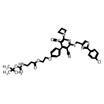 [C-]#[N+]c1c(N2CCC2)nc(SCc2csc(-c3ccc(Cl)cc3)n2)c(C#N)c1-c1ccc(OCCOC(=O)CCNC(=O)OC(C)(C)C)cc1